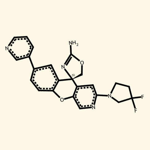 NC1=N[C@@]2(CO1)c1cc(-c3cccnc3)ccc1Oc1cnc(N3CCC(F)(F)C3)cc12